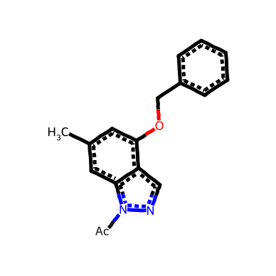 CC(=O)n1ncc2c(OCc3ccccc3)cc(C)cc21